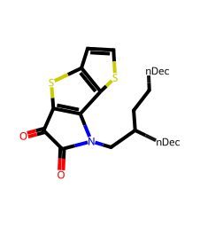 CCCCCCCCCCCCC(CCCCCCCCCC)CN1C(=O)C(=O)c2sc3ccsc3c21